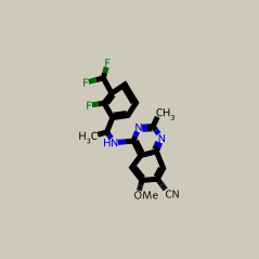 COc1cc2c(NC(C)c3cccc(C(F)F)c3F)nc(C)nc2cc1C#N